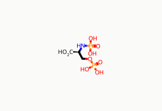 O=C(O)[C@H](COP(=O)(O)O)NP(=O)(O)O